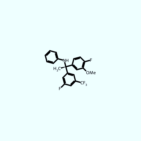 COc1cc([C@@](C)(Nc2ccccc2)c2cc(F)cc(C(F)(F)F)c2)ccc1F